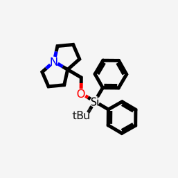 CC(C)(C)[Si](OCC12CCCN1CCC2)(c1ccccc1)c1ccccc1